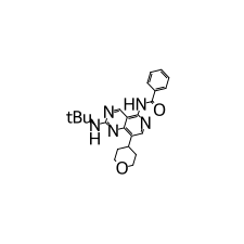 CC(C)(C)Nc1ncc2c(NC(=O)c3ccccc3)ncc(C3CCOCC3)c2n1